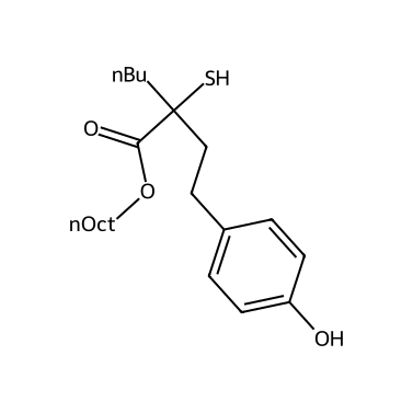 CCCCCCCCOC(=O)C(S)(CCCC)CCc1ccc(O)cc1